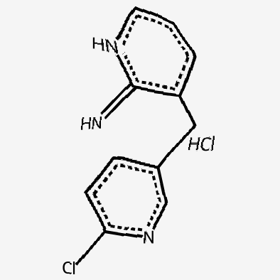 Cl.N=c1[nH]cccc1Cc1ccc(Cl)nc1